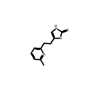 Cc1cccc(CCC2=CNC(=S)[N]2)n1